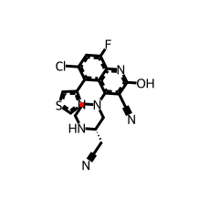 N#CC[C@H]1CN(c2c(C#N)c(O)nc3c(F)cc(Cl)c(-c4cscn4)c23)CCN1